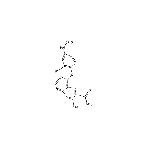 NC(=O)c1cc2c(Oc3ccc(NC=O)cc3F)ccnc2cc1O